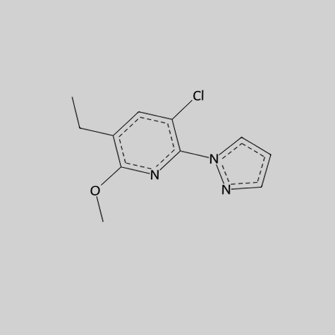 CCc1cc(Cl)c(-n2cccn2)nc1OC